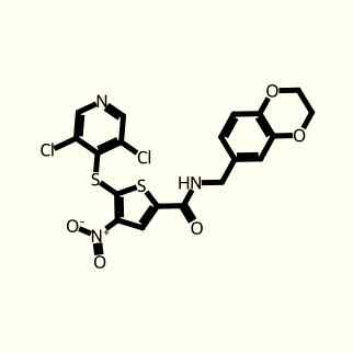 O=C(NCc1ccc2c(c1)OCCO2)c1cc([N+](=O)[O-])c(Sc2c(Cl)cncc2Cl)s1